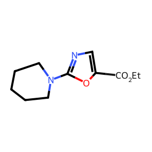 CCOC(=O)c1cnc(N2CCCCC2)o1